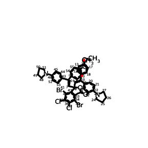 COc1ccc(C(=CC2(C=C(c3ccc(OC)cc3)c3ccc(N4CCCC4)cc3)OC(=O)c3c(Br)c(Cl)c(Cl)c(Br)c32)c2ccc(N3CCCC3)cc2)cc1